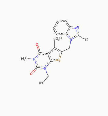 CCc1nc2ccccc2n1Cc1sc2c(c1C(=O)O)c(=O)n(C)c(=O)n2CC(C)C